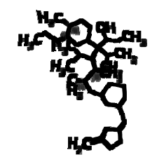 C=C1CCC(CC2CCCC(C[C@@H](C)[C@H](C)C(C(C)C)C(C(C)C)(C(O)CC)C3CC[C@H](C)[C@H](CCC)C3)C2)C1